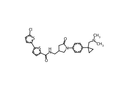 CN(C)CC1(c2ccc(N3CC(CNC(=O)c4ccc(-c5ccc(Cl)s5)s4)CC3=O)cc2)CC1